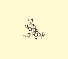 CCOc1cc(C(F)(F)F)ccc1C1=NC(c2ccc(Cl)cc2)C(c2ccc(Cl)cc2)N1C(=O)N1CCN(C(=O)CNC)CC1